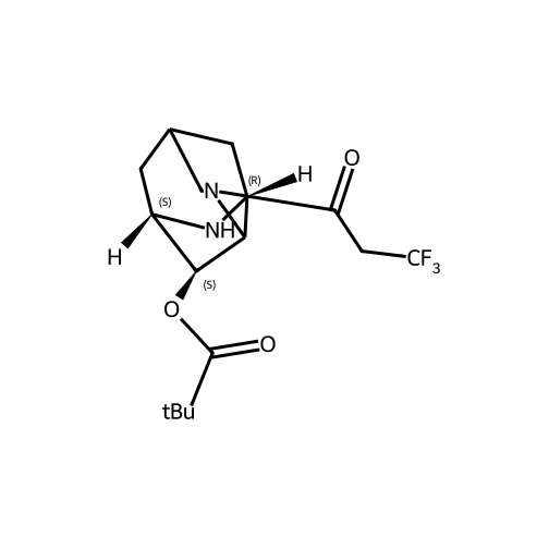 CC(C)(C)C(=O)O[C@@H]1C2[C@H]3CC(C[C@@H]1N3)CN2C(=O)CC(F)(F)F